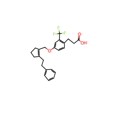 O=C(O)CCc1ccc(OCC2=C(CCc3ccccc3)CCC2)cc1C(F)(F)F